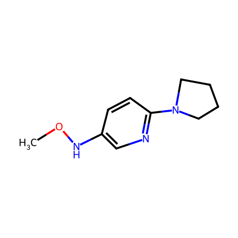 CONc1ccc(N2CCCC2)nc1